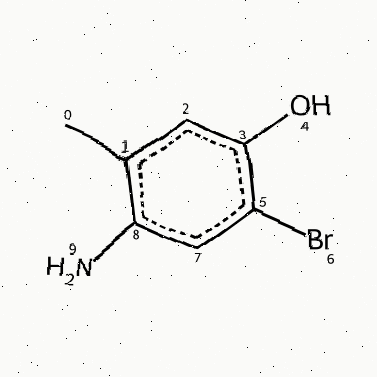 Cc1cc(O)c(Br)cc1N